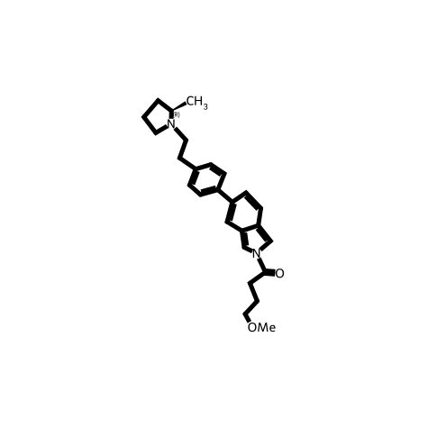 COCCCC(=O)n1cc2ccc(-c3ccc(CCN4CCC[C@H]4C)cc3)cc2c1